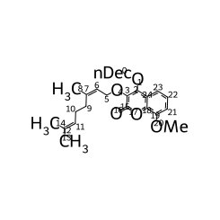 CCCCCCCCCCOc1c(OCC=C(C)CCC=C(C)C)c(=O)oc2c(OC)cccc12